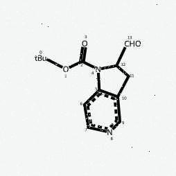 CC(C)(C)OC(=O)N1c2ccncc2CC1C=O